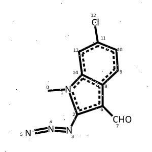 Cn1c(N=[N+]=[N-])c(C=O)c2ccc(Cl)cc21